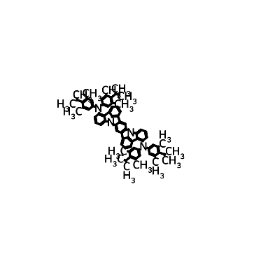 Cc1cc(N(c2cc(C)c(C(C)C)c(C)c2)c2cccc3c2c2cccc4c5cc6c(cc5n3c42)c2cccc3c4c(N(c5cc(C)c(C(C)C)c(C)c5)c5cc(C)c(C(C)C)c(C)c5)cccc4n6c23)cc(C)c1C(C)C